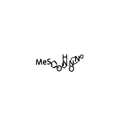 CSc1ccc(O[C@H]2CN[C@H](C(=O)N3CCCN(C4CCC4)CC3)C2)cc1